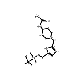 CC(C)(C)[Si](C)(C)OCc1cnc(CN2CCC(NC(=O)O)CC2)s1